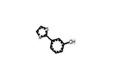 Oc1cccc(-c2nccs2)c1